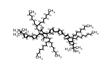 CCCCCCCCC(CCCCCC)CN1C(=O)C2=C(c3ccc(-c4ccc(C(C)(C)N)s4)s3)N(CC(CCCCCC)CCCCCCCC)C(=O)C2=C1c1ccc(-c2ccc(-c3cc4c(s3)-c3sc(C(C)(C)N)cc3C4(CCCCCCCC)CCCCCCCC)s2)s1